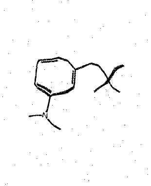 CN(C)c1cccc(CC(C)(C)C)c1